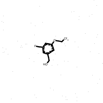 OCc1cc(F)cc(OCC(F)(F)F)c1